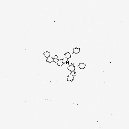 c1ccc(-c2ccc3c4c5oc6c7ccccc7ccc6c5ccc4n(-c4nc(-c5ccccc5)c5sc6ccccc6c5n4)c3c2)cc1